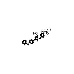 CCCC(=O)Nc1ccc(Cn2nc(-c3ccc(Oc4ccccc4)cc3)cc2CO)cc1